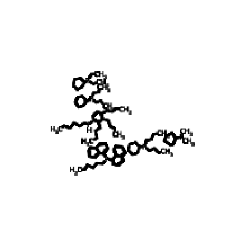 CCCCCCP(c1cccc2ccccc12)c1cccc2ccccc12.CCCCCCPc1ccc(CCCC)c(CCCC)c1CCCC.CCCCP(CCCC)C1CCCCC1.CCCP(CCC)C1CCCCC1.CCP(CC)C1CCCCC1.CP(C)C1CCCCC1